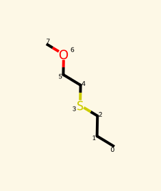 CCCSCCOC